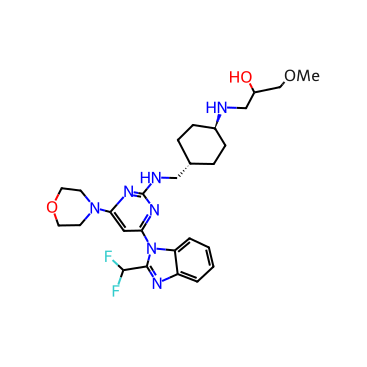 COCC(O)CN[C@H]1CC[C@H](CNc2nc(N3CCOCC3)cc(-n3c(C(F)F)nc4ccccc43)n2)CC1